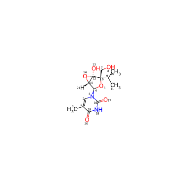 Cc1cn([C@@H]2O[C@@](CO)(C(C)C)[C@]3(O)O[C@@H]23)c(=O)[nH]c1=O